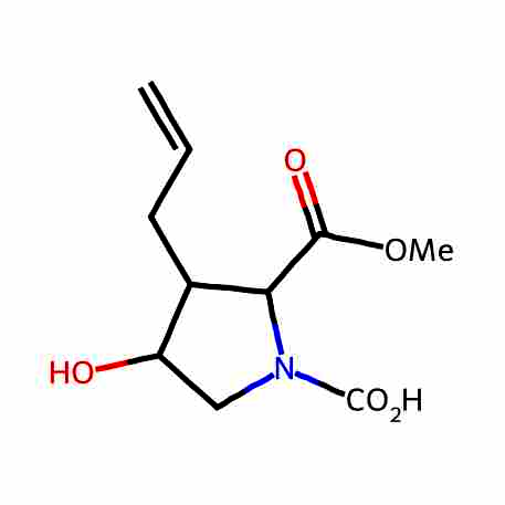 C=CCC1C(O)CN(C(=O)O)C1C(=O)OC